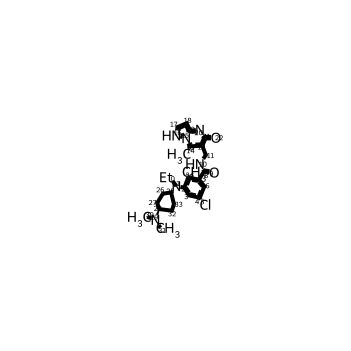 CCN(c1cc(Cl)cc(C(=O)NCc2c(C)n3[nH]ccc3nc2=O)c1C)[C@H]1CC[C@H](N(C)C)CC1